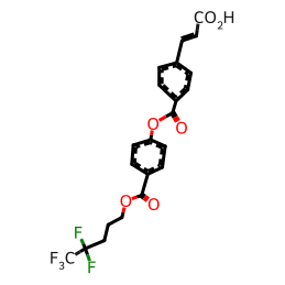 O=C(O)/C=C/c1ccc(C(=O)Oc2ccc(C(=O)OCCCC(F)(F)C(F)(F)F)cc2)cc1